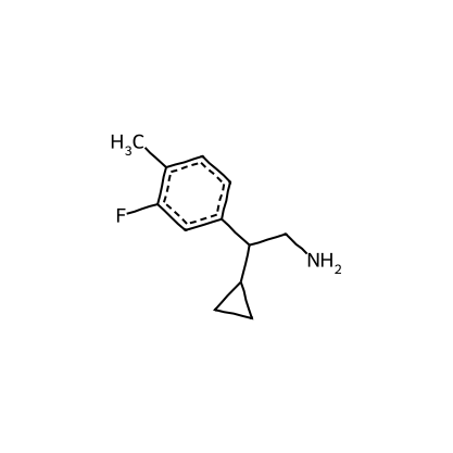 Cc1ccc(C(CN)C2CC2)cc1F